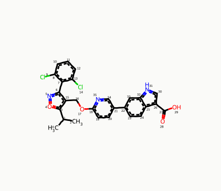 CC(C)c1onc(-c2c(Cl)cccc2Cl)c1COc1ccc(-c2ccc3c(C(=O)O)c[nH]c3c2)cn1